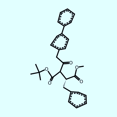 COC(=O)[C@H](Cc1ccccc1)C(C(=O)Cc1ccc(-c2ccccc2)cc1)C(=O)OC(C)(C)C